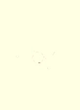 CCC(=O)C(C)Sc1nc(OC)cc(OC)n1